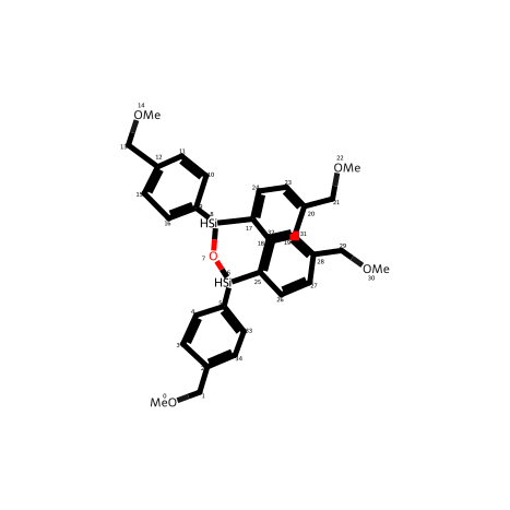 COCc1ccc([SiH](O[SiH](c2ccc(COC)cc2)c2ccc(COC)cc2)c2ccc(COC)cc2)cc1